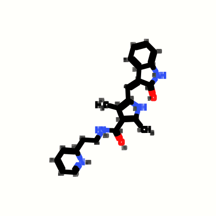 Cc1[nH]c(/C=C2\C(=O)Nc3ccccc32)c(C)c1C(=O)NCCc1ccccn1